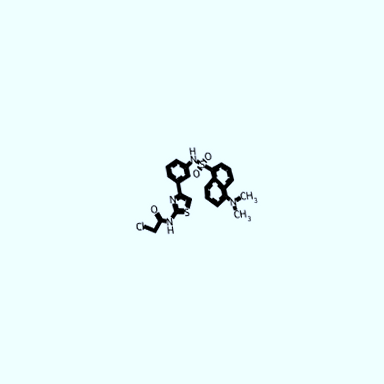 CN(C)c1cccc2c(S(=O)(=O)Nc3cccc(-c4csc(NC(=O)CCl)n4)c3)cccc12